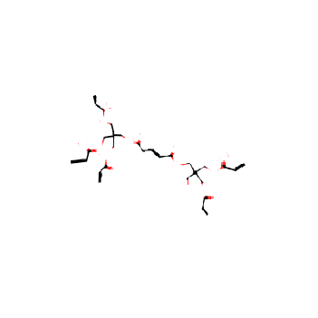 C=CC(=O)OCC(CO)(COC(=O)C=C)COC(=O)C=CCC(=O)OCC(COC(=O)C=C)(COC(=O)C=C)COC(=O)C=C